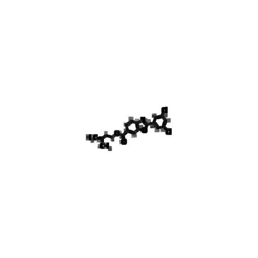 CN(C)CCOC(=O)c1ccc2nc(-c3cc(Cl)cc(Cl)c3)oc2c1